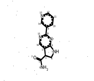 NC(=O)C1CNc2nc(-c3cccnc3)ncc21